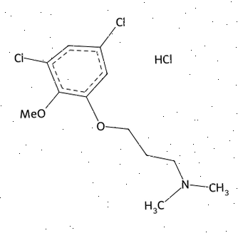 COc1c(Cl)cc(Cl)cc1OCCCN(C)C.Cl